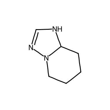 C1=NN2CCCCC2N1